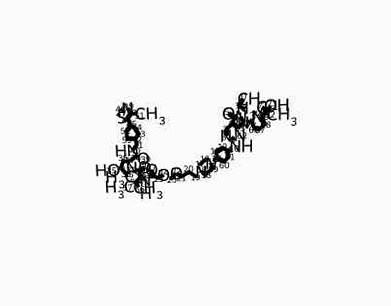 C=CCn1c(=O)c2cnc(Nc3ccc(N4CCN(CCCOCOCC(=O)N[C@H](C(=O)N5CC(O)CC5C(=O)NCc5ccc(-c6scnc6C)cc5)C(C)(C)C)CC4)cc3)nc2n1-c1cccc(C(C)(C)O)n1